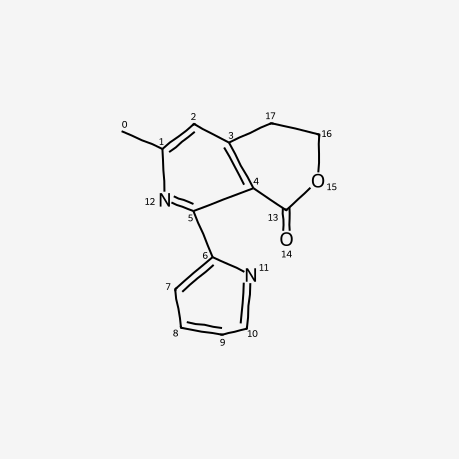 Cc1cc2c(c(-c3ccccn3)n1)C(=O)OCC2